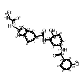 CCNC(=O)Nc1nc2ccc(C(=O)Nc3cc(NC(=O)c4cccc(Cl)c4)ccc3C)cc2s1